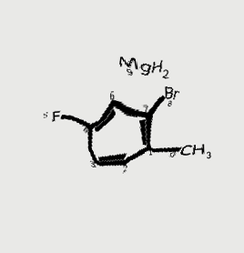 Cc1ccc(F)cc1Br.[MgH2]